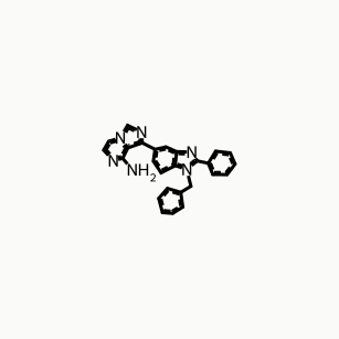 Nc1nccn2cnc(-c3ccc4c(c3)nc(-c3ccccc3)n4Cc3ccccc3)c12